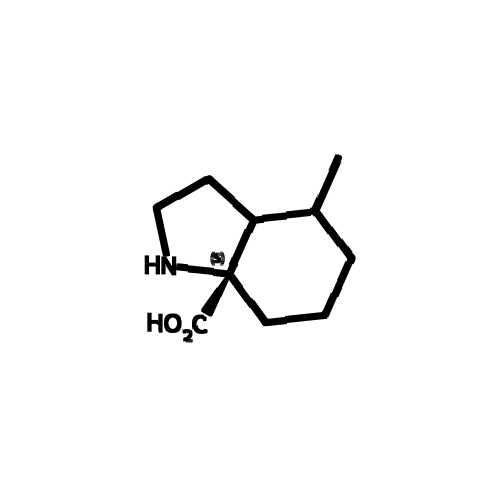 CC1CCC[C@]2(C(=O)O)NCCC12